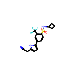 N#CCc1ccc(-c2ccc(S(=O)(=O)NC3CCC3)c(C(F)(F)F)c2)[nH]1